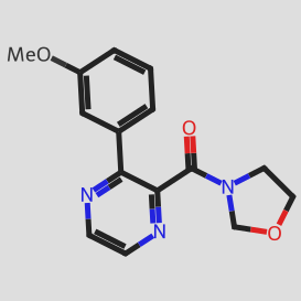 COc1cccc(-c2nccnc2C(=O)N2CCOC2)c1